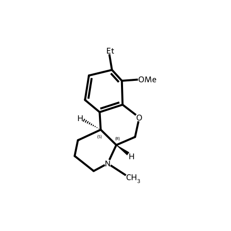 CCc1ccc2c(c1OC)OC[C@H]1[C@H]2CCCN1C